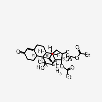 CCC(=O)OCC[C@@]1(OC(=O)CC)C(C)C[C@H]2[C@@H]3CCC4=CC(=O)CC[C@]4(C)[C@@]3(C(=S)CF)C(O)C[C@@]21C